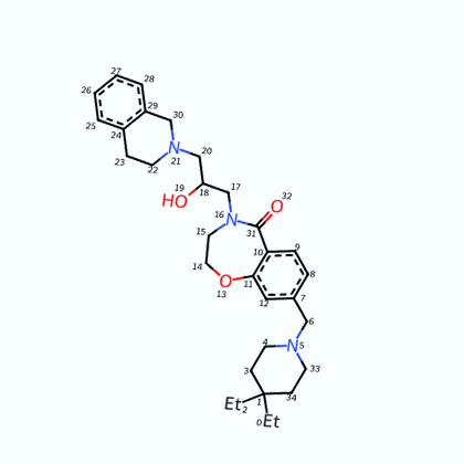 CCC1(CC)CCN(Cc2ccc3c(c2)OCCN(CC(O)CN2CCc4ccccc4C2)C3=O)CC1